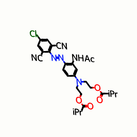 CC(=O)Nc1cc(N(CCOC(=O)C(C)C)CCOC(=O)C(C)C)ccc1N=Nc1c(C#N)cc(Cl)cc1C#N